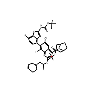 CC(CN1CC=CCC1)Oc1nc(N2CC3CCC(C2)N3C(=O)OC(C)(C)C)c2cc(Cl)c(-c3ccc(F)c4sc(NC(=O)OC(C)(C)C)nc34)c(F)c2n1